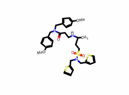 COc1ccc(CN(Cc2ccc(OC)cc2)C(=O)CCNC(C)CCS(=O)(=O)N(Cc2cccs2)Cc2cccs2)cc1